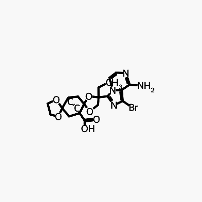 CCC1(c2nc(Br)c3c(N)nccn23)COC2(CC3CCC2(C(=O)O)CC32OCCO2)O1